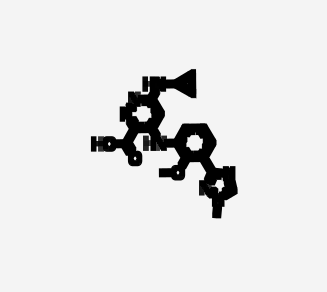 COc1c(Nc2cc(NC3CC3)nnc2C(=O)O)cccc1-c1ncn(C)n1